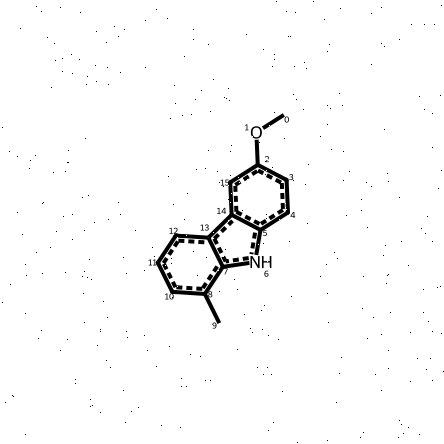 COc1ccc2[nH]c3c(C)cccc3c2c1